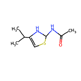 CC(=O)NC1NC(C(C)C)=CS1